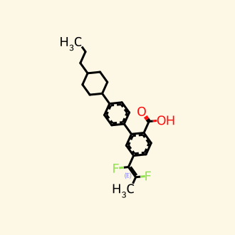 CCCC1CCC(c2ccc(-c3cc(/C(F)=C(/C)F)ccc3C(=O)O)cc2)CC1